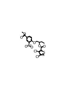 CCC(COc1ccc(C(=O)OC)cc1[N+](=O)[O-])OC(=O)c1snc(Cl)c1Cl